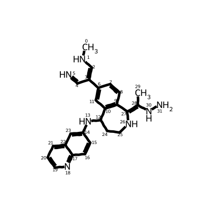 CN/C=C(\C=N)c1ccc2c(c1)C(Nc1ccc3ncccc3c1)CCN/C2=C(/C)NN